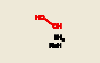 B.OO.[NaH]